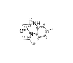 Cc1ccc2c(c1)NC(C)(C)C(=O)N2C(C)C